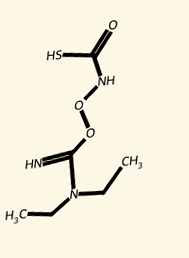 CCN(CC)C(=N)OONC(=O)S